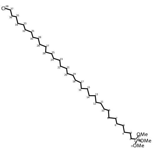 CO[Si](CCCCCCCCCCCCCCCCCCCCCCCCCCCCCCCCCCCCCl)(OC)OC